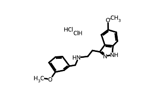 COc1cccc(CNCCc2n[nH]c3ccc(OC)cc23)c1.Cl.Cl